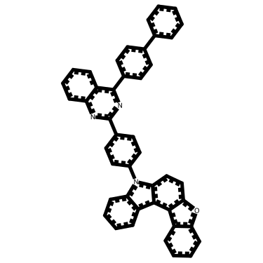 c1ccc(-c2ccc(-c3nc(-c4ccc(-n5c6ccccc6c6c7c(ccc65)oc5ccccc57)cc4)nc4ccccc34)cc2)cc1